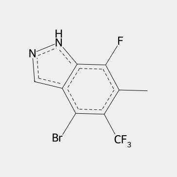 Cc1c(C(F)(F)F)c(Br)c2cn[nH]c2c1F